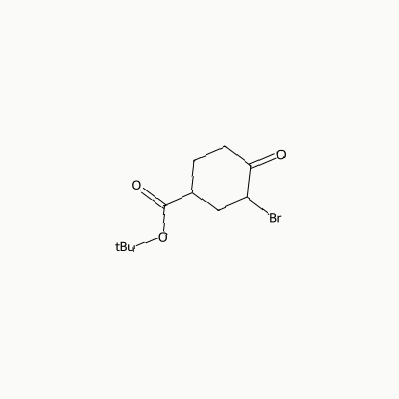 CC(C)(C)OC(=O)C1CCC(=O)C(Br)C1